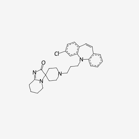 O=C1N=C2CCCCN2C12CCN(CCCN1c3ccccc3C=Cc3ccc(Cl)cc31)CC2